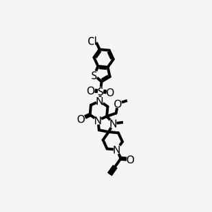 C#CC(=O)N1CCC2(CC1)CN1C(=O)CN(S(=O)(=O)c3cc4ccc(Cl)cc4s3)CC1(COC)N2C